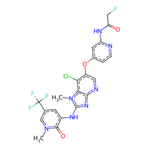 Cn1cc(C(F)(F)F)cc(Nc2nc3ncc(Oc4ccnc(NC(=O)CF)c4)c(Cl)c3n2C)c1=O